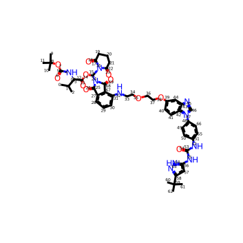 CC(C)[C@H](NC(=O)OC(C)(C)C)C(=O)OC(N1C(=O)CCCC1=O)N1C(=O)c2cccc(NCCOCCOc3ccc4c(c3)ncn4-c3ccc(NC(=O)Nc4cc(C(C)(C)C)n[nH]4)cc3)c2C1=O